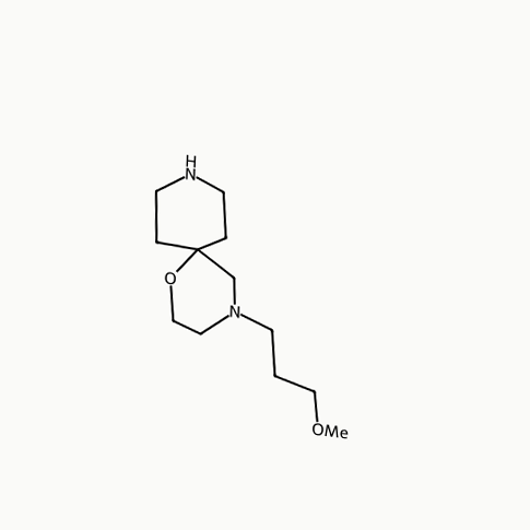 COCCCN1CCOC2(CCNCC2)C1